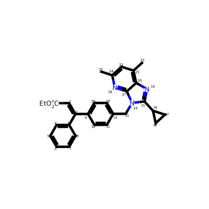 CCOC(=O)C=C(c1ccccc1)c1ccc(Cn2c(C3CC3)nc3c(C)cc(C)nc32)cc1